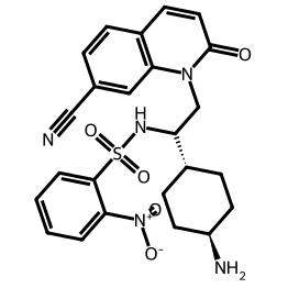 N#Cc1ccc2ccc(=O)n(CC(NS(=O)(=O)c3ccccc3[N+](=O)[O-])[C@H]3CC[C@H](N)CC3)c2c1